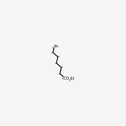 [CH2]COC(=O)CCCCCC(C)C